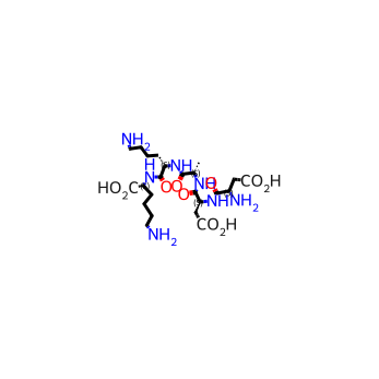 C[C@H](NC(=O)[C@H](CC(=O)O)NC(=O)[C@@H](N)CC(=O)O)C(=O)N[C@@H](CCCCN)C(=O)N[C@@H](CCCCN)C(=O)O